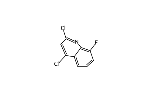 Fc1cccc2c(Cl)cc(Cl)nc12